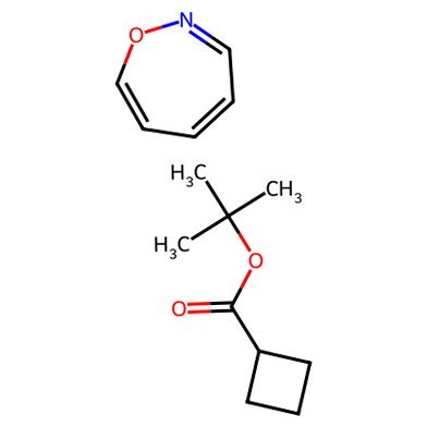 C1=CC=NOC=C1.CC(C)(C)OC(=O)C1CCC1